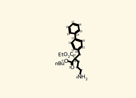 CCCCOC(=O)[C@](CCCN)(Cc1ccc(-c2ccccc2)cc1)C(=O)OCC